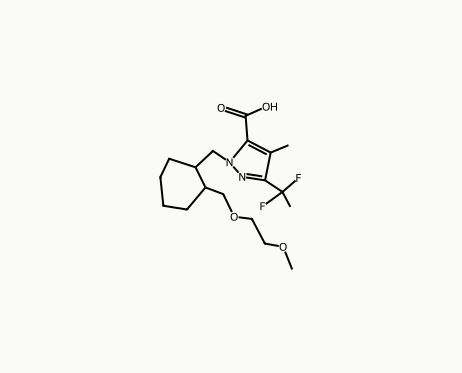 COCCOCC1CCCCC1Cn1nc(C(C)(F)F)c(C)c1C(=O)O